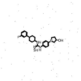 O[C@@H]1CCN(c2ccc(N/C(=N\S)NC3CCC(c4cccc(F)c4)CC3)cc2)C1